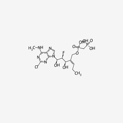 CC/C=C(/COP(=O)(O)CP(=O)(O)O)[C@@H](O)[C@H](F)[C@@H](O)n1cnc2c(NC)nc(Cl)nc21